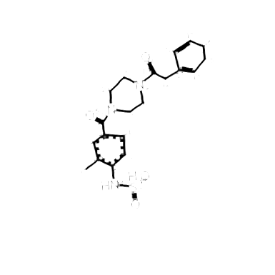 Cc1cc(C(=O)N2CCN(C(=O)CC3=CCCC=C3)CC2)ccc1N[SH](=O)=O